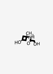 C[C@]1(NC(=O)CO)C[C@@H](O)C1